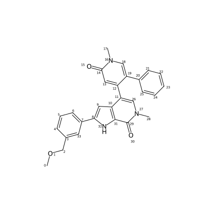 COCc1cccc(-c2cc3c(-c4cc(=O)n(C)cc4-c4ccccc4)cn(C)c(=O)c3[nH]2)c1